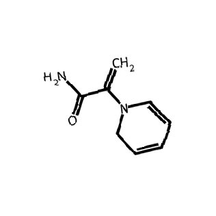 C=C(C(N)=O)N1C=CC=CC1